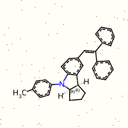 Cc1ccc(N2c3ccc(C=C(c4ccccc4)c4ccccc4)cc3[C@H]3CCC[C@H]32)cc1